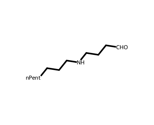 CCCCCCCCNCCCC=O